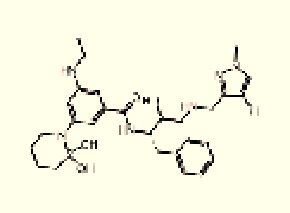 CCNc1cc(C(=O)N[C@@H](Cc2ccccc2)[C@@H](O)CNCc2nn(C)cc2Cl)cc(N2CCCCS2(O)O)c1